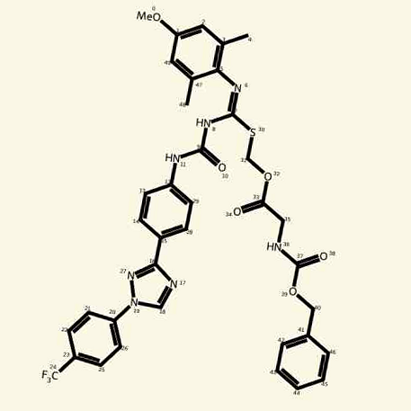 COc1cc(C)c(/N=C(\NC(=O)Nc2ccc(-c3ncn(-c4ccc(C(F)(F)F)cc4)n3)cc2)SCOC(=O)CNC(=O)OCc2ccccc2)c(C)c1